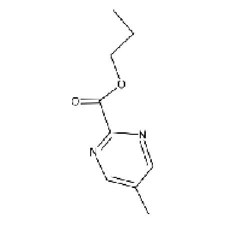 CCCOC(=O)c1ncc(C)cn1